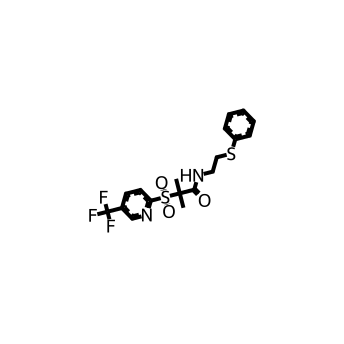 CC(C)(C(=O)NCCSc1ccccc1)S(=O)(=O)c1ccc(C(F)(F)F)cn1